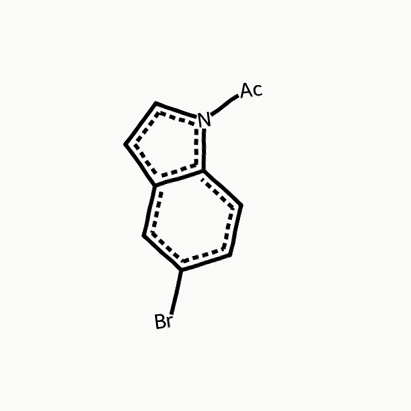 CC(=O)n1ccc2cc(Br)ccc21